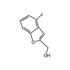 OCc1cc2c(I)cccc2o1